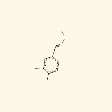 CC(C)(C)[S@@+]([O-])/N=C/c1ccc(Cl)c(F)c1